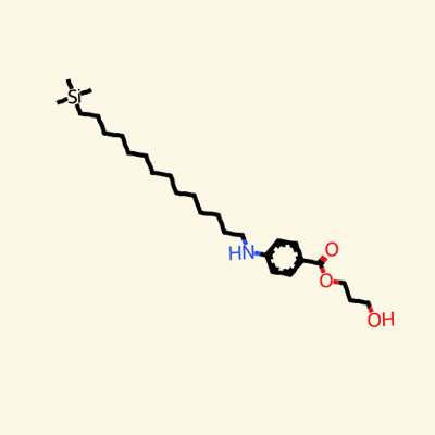 C[Si](C)(C)CCCCCCCCCCCCCCNc1ccc(C(=O)OCCCO)cc1